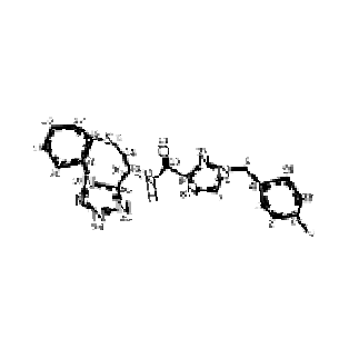 Cc1ccc(Cn2cnc(C(=O)N[C@H]3CSc4ccccc4-n4nnnc43)n2)cc1